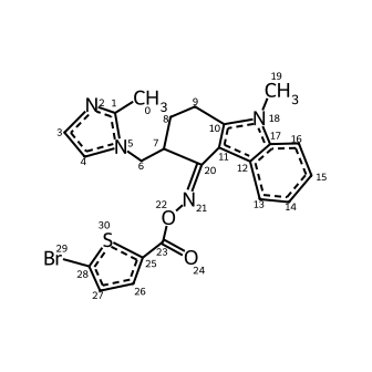 Cc1nccn1CC1CCc2c(c3ccccc3n2C)/C1=N/OC(=O)c1ccc(Br)s1